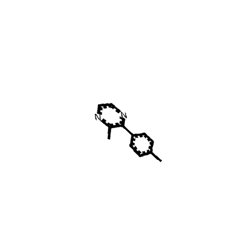 Cc1ccc(-c2nccnc2C)cc1